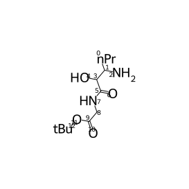 CCCC(N)C(O)C(=O)NCC(=O)OC(C)(C)C